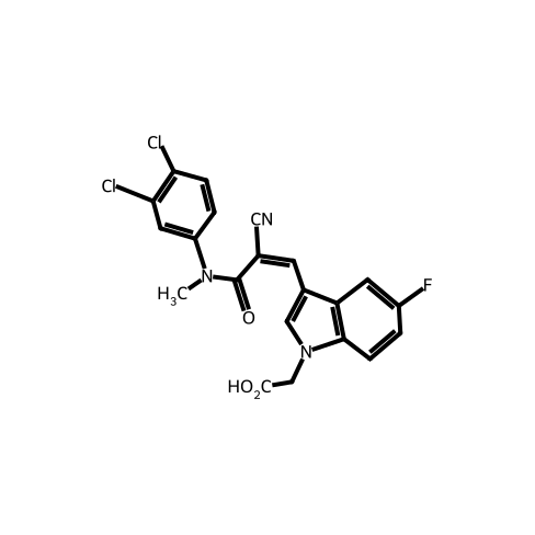 CN(C(=O)C(C#N)=Cc1cn(CC(=O)O)c2ccc(F)cc12)c1ccc(Cl)c(Cl)c1